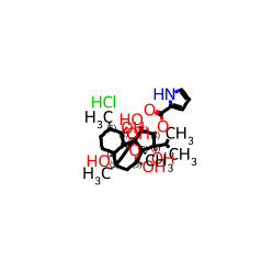 CC(C)[C@@]1(O)[C@@H](OC(=O)c2ccc[nH]2)[C@@]2(O)[C@@]3(C)C[C@]4(O)O[C@@]5([C@H](O)[C@@H](C)CC[C@]35O)[C@@]2(O)[C@@]14C.Cl